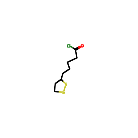 O=C(Cl)CCCCC1CCSS1